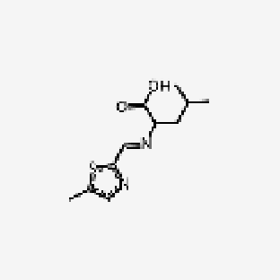 Cc1cnc(C=NC(CC(C)C)C(=O)O)s1